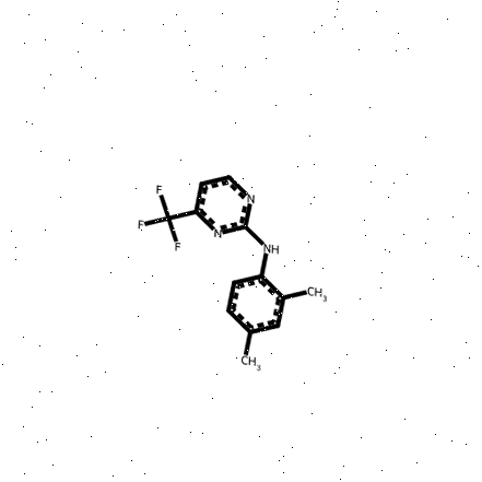 Cc1ccc(Nc2nccc(C(F)(F)F)n2)c(C)c1